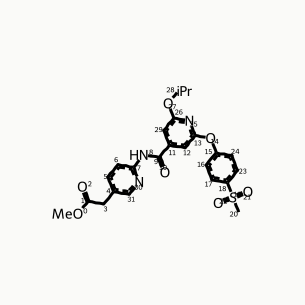 COC(=O)Cc1ccc(NC(=O)c2cc(Oc3ccc(S(C)(=O)=O)cc3)nc(OC(C)C)c2)nc1